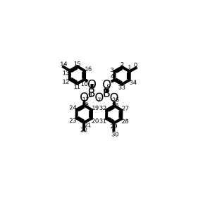 Cc1ccc(OB(OB(Oc2ccc(C)cc2)Oc2ccc(C)cc2)Oc2ccc(C)cc2)cc1